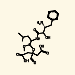 COB(OC(C=O)(CC(=O)O)CC(=O)O)C(CC(C)C)NC(=O)C(O)[C@H](N)Cc1ccccc1